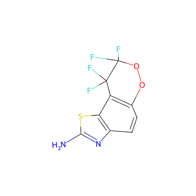 Nc1nc2ccc3c(c2s1)C(F)(F)C(F)(F)OO3